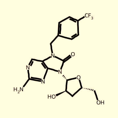 Nc1ncc2c(n1)n([C@@H]1O[C@H](CO)C[C@H]1O)c(=O)n2Cc1ccc(C(F)(F)F)cc1